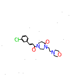 O=C(C=Cc1cccc(Cl)c1)N1CCC(=O)N(CCN2CCOCC2)CC1